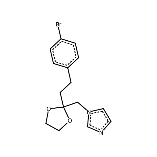 Brc1ccc(CCC2(Cn3ccnc3)OCCO2)cc1